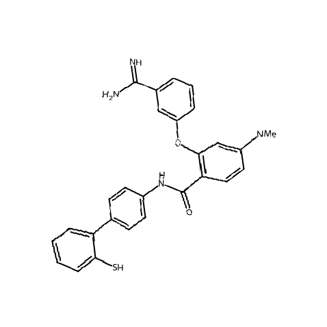 CNc1ccc(C(=O)Nc2ccc(-c3ccccc3S)cc2)c(Oc2cccc(C(=N)N)c2)c1